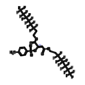 Cc1ccc(S(=O)(=O)O/C(=C\C(=O)OCCC(F)(F)C(F)(F)C(F)(F)C(F)(F)C(F)(F)C(F)(F)F)C(=O)OCCC(F)(F)C(F)(F)C(F)(F)C(F)(F)C(F)(F)C(F)(F)F)cc1